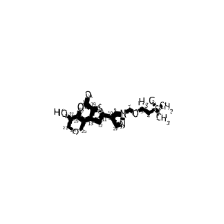 C[Si](C)(C)CCOCn1cc(-c2cc3c4c(oc(=O)c3s2)C(O)COC4)cn1